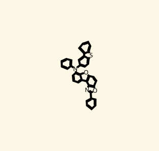 c1ccc(-c2nc3c(ccc4oc5c(N(c6ccccc6)c6ccc7sc8ccccc8c7c6)cccc5c43)o2)cc1